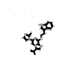 C=C(C)c1cnc2c(OCCc3c[nH]c4ccccc34)nc(-n3ccnc3C)cn12